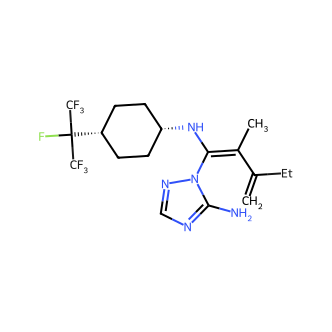 C=C(CC)/C(C)=C(/N[C@H]1CC[C@@H](C(F)(C(F)(F)F)C(F)(F)F)CC1)n1ncnc1N